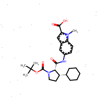 Cn1c(C(=O)O)cc2cc(NC(=O)[C@@H]3[C@H](C4CCCCC4)CCN3C(=O)OC(C)(C)C)ccc21